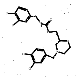 O=C(NCc1ccc(F)c(F)c1)NCC1CN(Cc2ccc(Cl)c(Cl)c2)CCO1